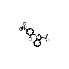 CC(=O)c1cn(-c2ccc([N+](=O)[O-])cc2Cl)c2ccccc12